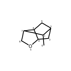 CC1C2CC3OCC1C3C2